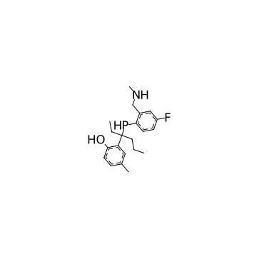 CCCC(CC)(Pc1ccc(F)cc1CNC)c1cc(C)ccc1O